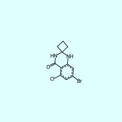 O=C1NC2(CCC2)Nc2cc(Br)cc(Cl)c21